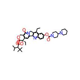 CCc1c2c(nc3ccc(OC(=O)N4CCC(N5CCCCC5)CC4)cc13)-c1cc3c(c(=O)n1C2)COC(=O)[C@@]3(CC)OC(=O)C(C(C)C)C(C)(C)C